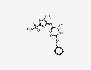 CC(C)[C@H](NC(=O)OCc1ccccc1)C(=O)N=c1sc(S(N)(=O)=O)nn1C